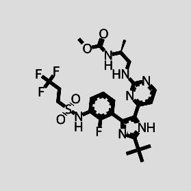 COC(=O)N[C@@H](C)CNc1nccc(-c2[nH]c(C(C)(C)C)nc2-c2cccc(NS(=O)(=O)CCC(F)(F)F)c2F)n1